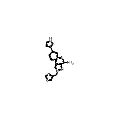 Nc1nc2cc(-c3cc[nH]n3)ccc2c2cn(Cc3cscn3)nc12